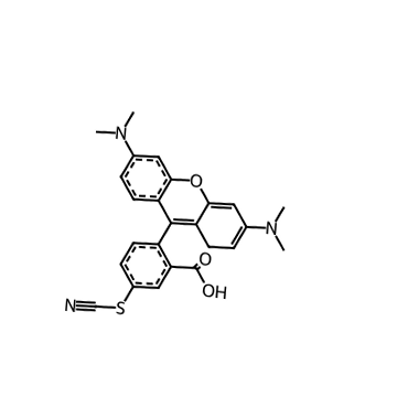 CN(C)C1=CCC2=C(c3ccc(SC#N)cc3C(=O)O)c3ccc(N(C)C)cc3OC2=C1